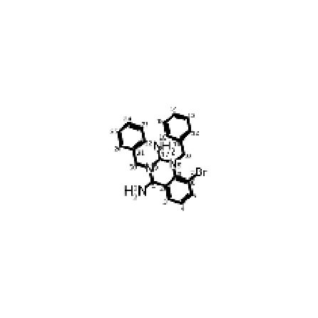 NC1c2cccc(Br)c2N(Cc2ccccc2)C(N)N1Cc1ccccc1